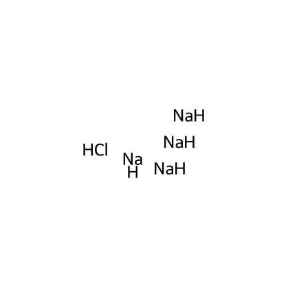 Cl.[NaH].[NaH].[NaH].[NaH]